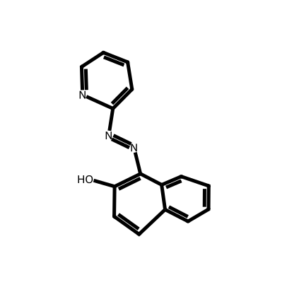 Oc1ccc2ccccc2c1N=Nc1ccccn1